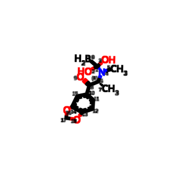 BC(O)(O)N(C)[C@H](C)C(=O)c1ccc2c(c1)OCO2